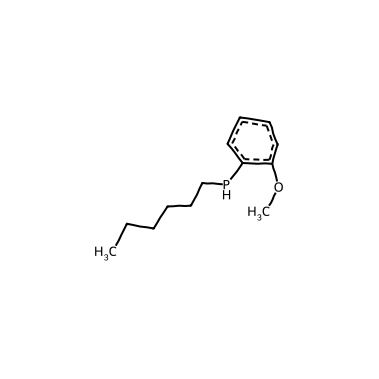 CCCCCCPc1ccccc1OC